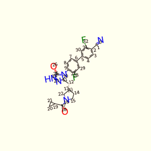 N#Cc1ccc(-c2ccc(-n3c(C[C@@H]4CCN(C(=O)C5CC5)C4)n[nH]c3=O)c(F)c2)cc1F